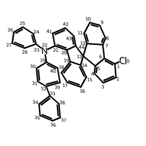 Clc1cccc2c1-c1ccccc1C21c2ccccc2-c2c(N(c3ccccc3)c3ccc(-c4ccccc4)cc3)cccc21